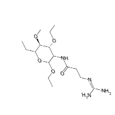 CCOC1OC(CC)[C@@H](OC)[C@H](OCC)C1NC(=O)CCN=C(N)N